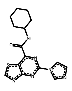 O=C(NC1CCCCC1)c1nc(-n2ccnc2)nc2ncsc12